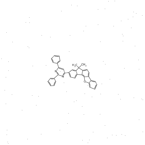 CC1(C)c2cc(-c3cc(-c4ccccc4)nc(-c4ccccc4)n3)ccc2-c2c1ccc1c2oc2ccccc21